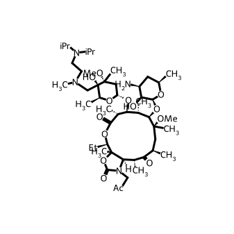 CC[C@H]1OC(=O)[C@H](C)[C@@H](O[C@H]2C[C@@](C)(OC)[C@@](O)(CN(C)CCN(C(C)C)C(C)C)[C@H](C)O2)[C@H](C)[C@@H](O[C@@H]2O[C@H](C)C[C@H](N)C2O)[C@@](C)(OC)C[C@@H](C)C(=O)[C@H](C)[C@H]2N(CC(C)=O)C(=O)O[C@]12C